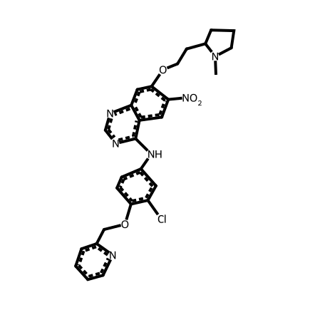 CN1CCCC1CCOc1cc2ncnc(Nc3ccc(OCc4ccccn4)c(Cl)c3)c2cc1[N+](=O)[O-]